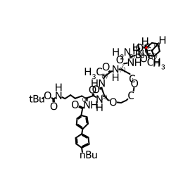 CCCCc1ccc(-c2ccc(C(=O)N[C@@H](CCCCNC(=O)OC(C)(C)C)C(=O)N[C@H]3COCCCCOCC[C@@H](C(=O)N[C@@H](N)B4O[C@@H]5C[C@@H]6C[C@@H](C6(C)C)[C@]5(C)O4)NC(=O)[C@H](C)NC3=O)cc2)cc1